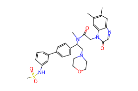 Cc1cc2ncc(=O)n(CC(=O)N(C)C(CN3CCOCC3)c3ccc(-c4cccc(NS(C)(=O)=O)c4)cc3)c2cc1C